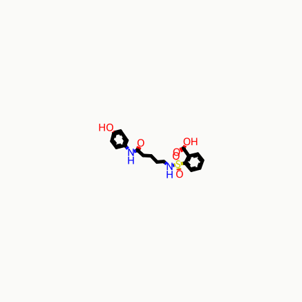 O=C(CCCCNS(=O)(=O)c1ccccc1C(=O)O)Nc1ccc(O)cc1